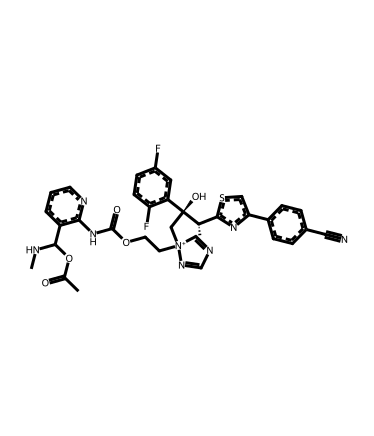 CNC(OC(C)=O)c1cccnc1NC(=O)OCC[N+]1(C[C@](O)(c2cc(F)ccc2F)[C@@H](C)c2nc(-c3ccc(C#N)cc3)cs2)C=NC=N1